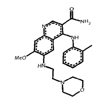 COc1cc2ncc(C(N)=O)c(Nc3ccccc3C)c2cc1NCCN1CCOCC1